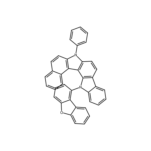 c1ccc(-n2c3ccc4ccccc4c3c3c2ccc2c4ccccc4n(-c4cccc5oc6ccccc6c45)c23)cc1